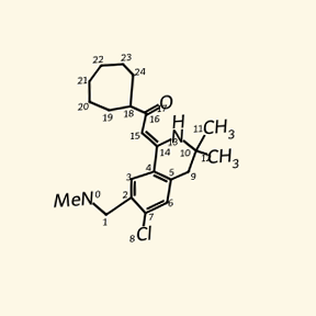 CNCc1cc2c(cc1Cl)CC(C)(C)N/C2=C\C(=O)C1CCCCCC1